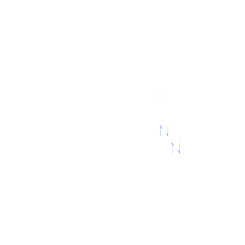 O=c1cccnn1-c1ccc(-c2ccccc2)cc1